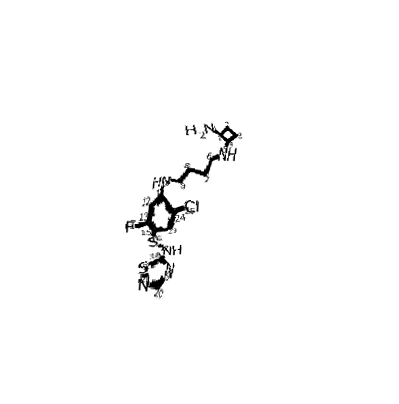 NC1CCC1NCCCCNc1cc(F)c(SNc2ncns2)cc1Cl